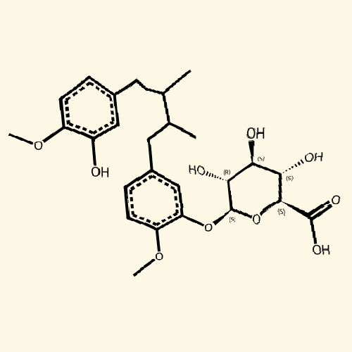 COc1ccc(CC(C)C(C)Cc2ccc(OC)c(O[C@@H]3O[C@H](C(=O)O)[C@@H](O)[C@H](O)[C@H]3O)c2)cc1O